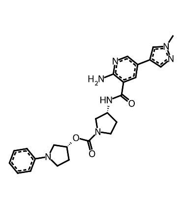 Cn1cc(-c2cnc(N)c(C(=O)N[C@@H]3CCN(C(=O)O[C@@H]4CCN(c5ccccc5)C4)C3)c2)cn1